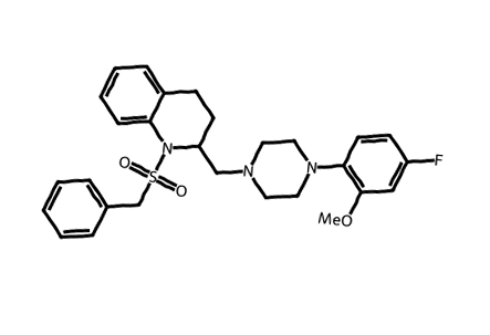 COc1cc(F)ccc1N1CCN(CC2CCc3ccccc3N2S(=O)(=O)Cc2ccccc2)CC1